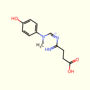 CN(/C=N\C(=N)CCC(=O)O)c1ccc(O)cc1